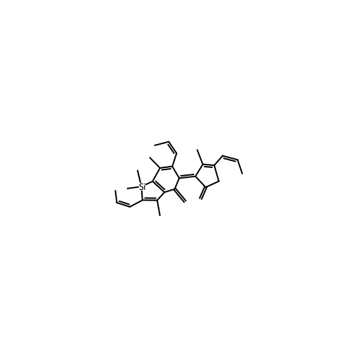 C=C1CC(/C=C\C)=C(C)C/1=c1\c(/C=C\C)c(C)c2c(c1=C)C(C)=C(/C=C\C)[Si]2(C)C